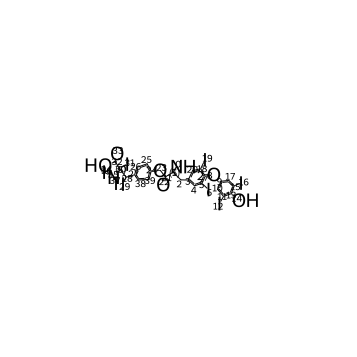 N[C@@H](Cc1cc(I)c(Oc2cc(I)c(O)c(I)c2)c(I)c1)C(=O)Oc1ccc(C(I)[C@@](I)(C(=O)O)N(I)I)cc1